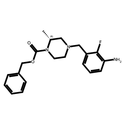 C[C@@H]1CN(Cc2cccc(N)c2F)CCN1C(=O)OCc1ccccc1